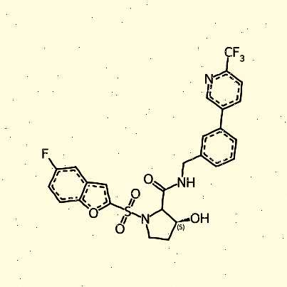 O=C(NCc1cccc(-c2ccc(C(F)(F)F)nc2)c1)C1[C@@H](O)CCN1S(=O)(=O)c1cc2cc(F)ccc2o1